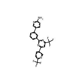 Nc1ccc(-c2cccc(-c3nc(-c4ccc(C(F)(F)F)nc4)cc(C(F)(F)F)n3)c2)cn1